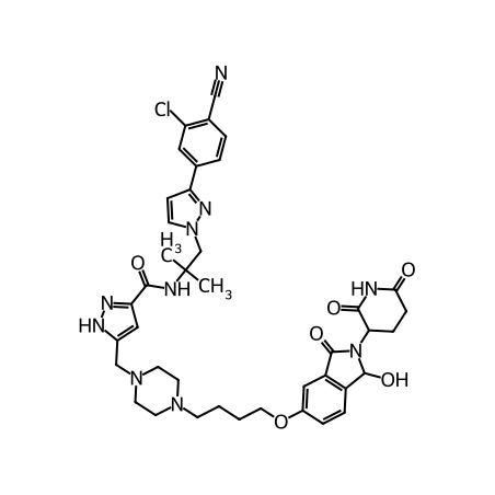 CC(C)(Cn1ccc(-c2ccc(C#N)c(Cl)c2)n1)NC(=O)c1cc(CN2CCN(CCCCOc3ccc4c(c3)C(=O)N(C3CCC(=O)NC3=O)C4O)CC2)[nH]n1